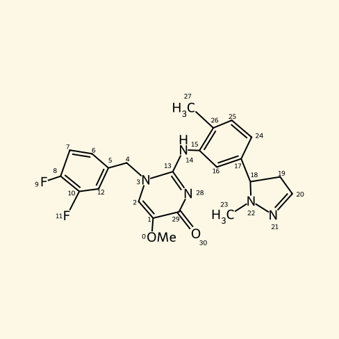 COc1cn(Cc2ccc(F)c(F)c2)c(Nc2cc(C3CC=NN3C)ccc2C)nc1=O